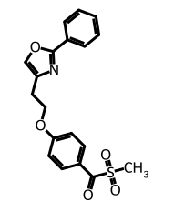 CS(=O)(=O)C(=O)c1ccc(OCCc2coc(-c3ccccc3)n2)cc1